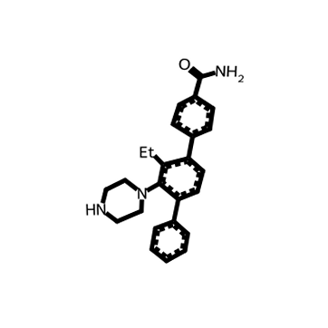 CCc1c(-c2ccc(C(N)=O)cc2)ccc(-c2ccccc2)c1N1CCNCC1